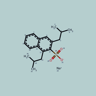 CC(C)Cc1cc2ccccc2c(CC(C)C)c1S(=O)(=O)[O-].[Na+]